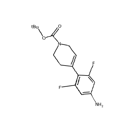 CC(C)(C)OC(=O)N1CC=C(c2c(F)cc(N)cc2F)CC1